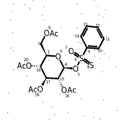 CC(=O)OC[C@H]1O[C@@H](OS(=O)(=S)c2ccccc2)[C@H](OC(C)=O)[C@@H](OC(C)=O)[C@@H]1OC(C)=O